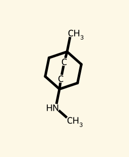 CNC12CCC(C)(CC1)CC2